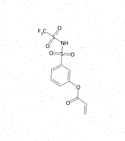 C=CC(=O)Oc1cccc(S(=O)(=O)NS(=O)(=O)C(F)(F)F)c1